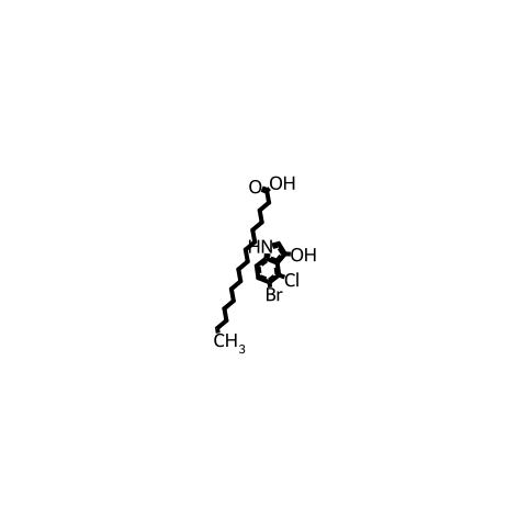 CCCCCCCCCCCCCCCC(=O)O.Oc1c[nH]c2ccc(Br)c(Cl)c12